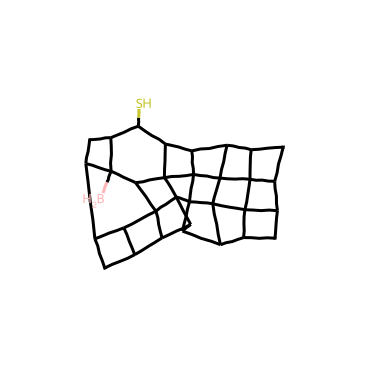 BC12C3CC1C1CC4C1C15C4C4C6C7C8CC9C%10CC%11C%12C%13C(C3S)C3(C21)C45C61C72C98C%10%11C%122C%1331